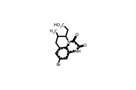 CC1Cc2cc(Br)cc3[nH]c(=O)c(=O)n(c23)C1CC(=O)O